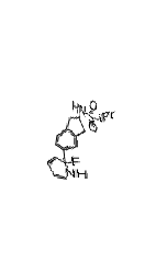 CC(C)S(=O)(=O)NC1Cc2ccc(C3(F)C=CC=CN3)cc2C1